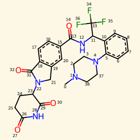 CN1CCN(c2ccccc2C(NC(=O)c2ccc3c(c2)CN(C2CCC(=O)NC2=O)C3=O)C(F)(F)F)CC1